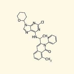 Cc1cccc2cc(C(C)Nc3nc(Cl)nc4c3ncn4C3CCCCO3)n(-c3ccccc3)c(=O)c12